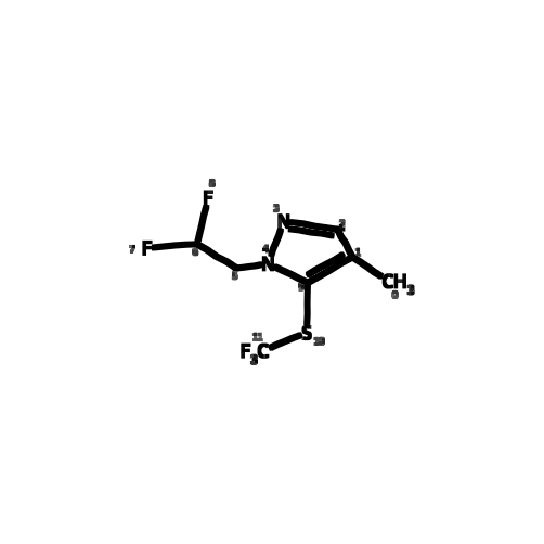 Cc1[c]nn(CC(F)F)c1SC(F)(F)F